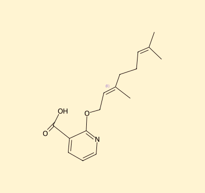 CC(C)=CCC/C(C)=C/COc1ncccc1C(=O)O